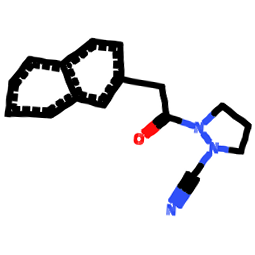 N#CN1CCCN1C(=O)Cc1ccc2ccccc2c1